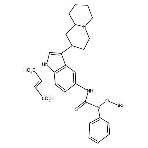 CCC(C)ON(C(=S)Nc1ccc2[nH]cc(C3CCN4CCCCC4C3)c2c1)c1ccccc1.O=C(O)C=CC(=O)O